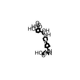 CS(=O)(=O)Nc1cc([C@@H](O)CNC2CCN(c3ccc(-c4nnnn4CC(=O)O)cc3)CC2)ccc1O